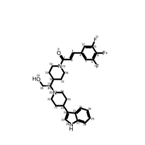 O=C(C=Cc1cc(F)c(F)c(F)c1)N1CCC([C@H](CO)N2CCC(c3c[nH]c4ccccc34)CC2)CC1